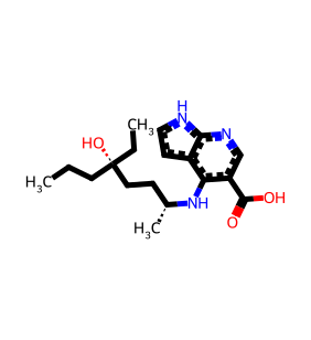 CCC[C@@](O)(CC)CC[C@@H](C)Nc1c(C(=O)O)cnc2[nH]ccc12